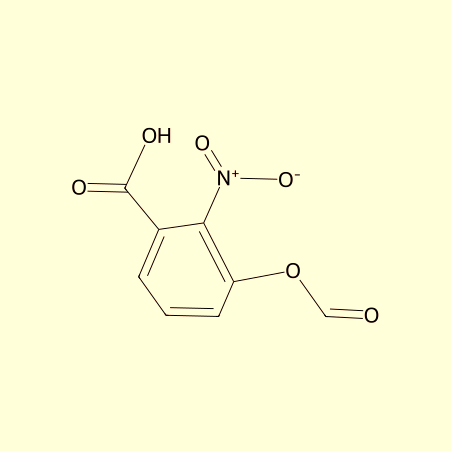 O=COc1cccc(C(=O)O)c1[N+](=O)[O-]